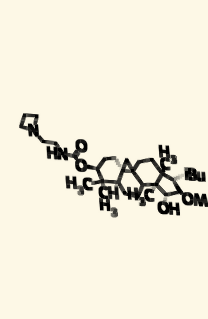 CC[C@@H](C)[C@H]1C(OC)[C@H](O)[C@@]2(C)C3CC[C@H]4C(C)(C)[C@@H](OC(=O)NCCN5CCC5)CC[C@@]45CC35CC[C@]12C